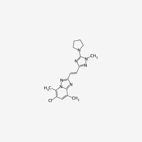 Cc1cc(Cl)c(C)n2nc(C=Cc3nc(N4CCCC4)n(C)n3)nc12